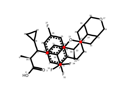 C[C@H](C(=O)O)C(c1ccc2c(c1)OC(C1C3COCC1CN([C@@H](C)c1cc(F)ccc1C(F)(F)F)C3)CC2)C1CC1